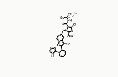 CCCCc1nc(Cl)c(C(=O)N[C@H](C(=O)OCC)C(C)CC)n1Cc1ccc2oc(-c3ccccc3-c3nnn[nH]3)c(Br)c2c1